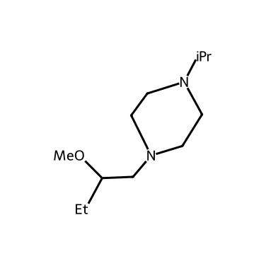 CCC(CN1CCN(C(C)C)CC1)OC